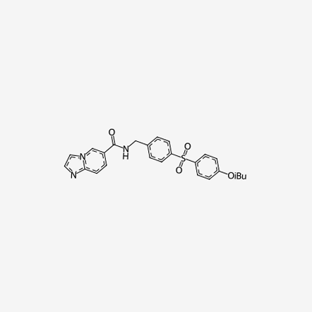 CC(C)COc1ccc(S(=O)(=O)c2ccc(CNC(=O)c3ccc4nccn4c3)cc2)cc1